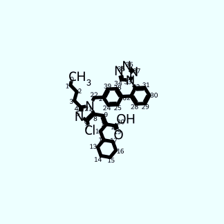 CCCCc1nc(Cl)c(/C=C(\CC2CCCCC2)C(=O)O)n1Cc1ccc(-c2ccccc2-n2cnnn2)cc1